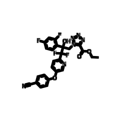 CCOC(=O)c1nnnn1CC(O)(c1ccc(F)cc1F)C(F)(F)c1ccc(Oc2ccc(C#N)cc2)cn1